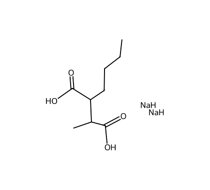 CCCCC(C(=O)O)C(C)C(=O)O.[NaH].[NaH]